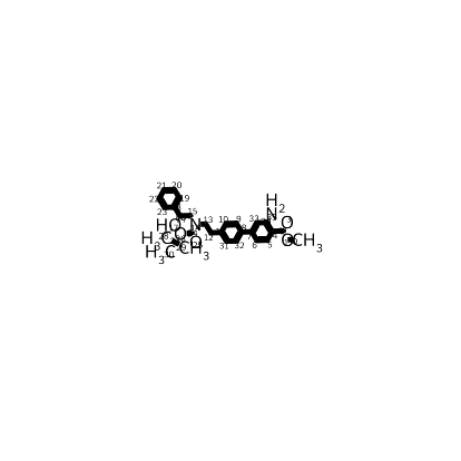 COC(=O)c1ccc(-c2ccc(CCN(C[C@H](O)c3ccccc3)C(=O)OC(C)(C)C)cc2)cc1N